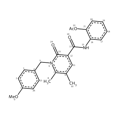 COc1ccc(Cn2c(C)c(C)cc(C(=O)Nc3ccccc3OC(C)=O)c2=O)cc1